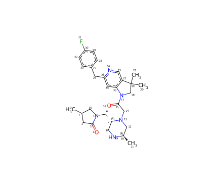 CC1CC(=O)N(C[C@H]2CN[C@H](C)CN2CC(=O)N2CC(C)(C)c3cnc(Cc4ccc(F)cc4)cc32)C1